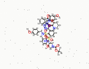 COc1ccc(CN(Cc2ccc(OC)cc2)S(=O)(=O)c2c(S(=O)(=O)NC3CCN(C(=O)OC(C)(C)C)C3)ccc(N3CCCC(ON4C(=O)c5ccccc5C4=O)C3=O)c2-c2nnn(Cc3ccc(OC)cc3)n2)cc1